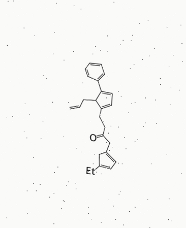 C=CCC1C(CCC(=O)CC2=CC=C(CC)C2)=CC=C1c1ccccc1